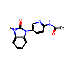 CCC(=O)Nc1ccc(-n2c(=O)n(C)c3ccccc32)cn1